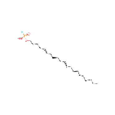 CCCCCCC=CCC=CCC=CCC=CCCCCOP(=O)(O)F